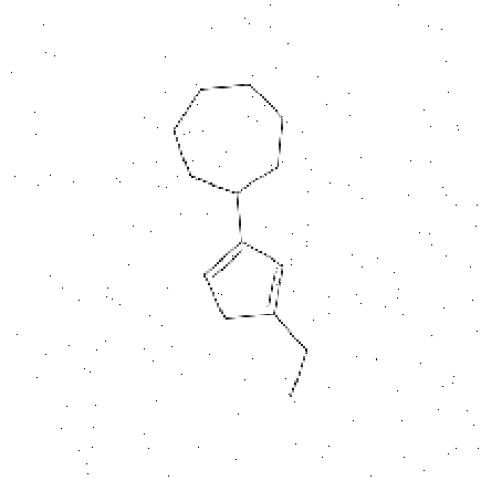 CCC1=CC(C2CCCCCC2)=CC1